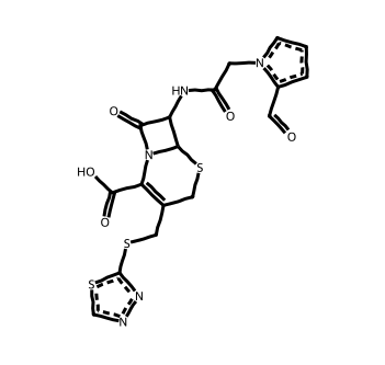 O=Cc1cccn1CC(=O)NC1C(=O)N2C(C(=O)O)=C(CSc3nncs3)CSC12